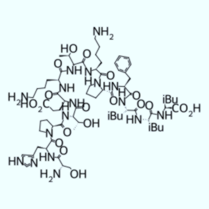 CC[C@H](C)[C@H](NC(=O)[C@@H](NC(=O)[C@@H](NC(=O)[C@H](Cc1ccccc1)NC(=O)[C@@H]1CCCN1C(=O)[C@H](CCCCN)NC(=O)[C@@H](NC(=O)[C@H](CCCCN)NC(=O)[C@H](CCC(=O)O)NC(=O)[C@@H](NC(=O)[C@@H]1CCCN1C(=O)[C@H](Cc1c[nH]cn1)NC(=O)[C@@H](N)CO)[C@@H](C)O)[C@@H](C)O)[C@@H](C)CC)[C@@H](C)CC)C(=O)O